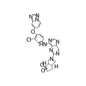 O=S1(=O)CC[C@@H]2CN(c3ncc4ncnc(Nc5ccc(Oc6ccn7ncnc7c6)c(Cl)c5)c4n3)C[C@@H]21